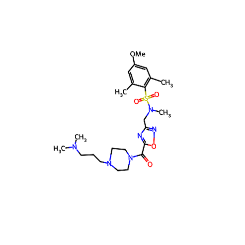 COc1cc(C)c(S(=O)(=O)N(C)Cc2noc(C(=O)N3CCN(CCCN(C)C)CC3)n2)c(C)c1